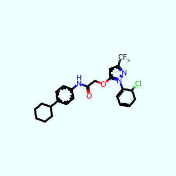 O=C(COc1cc(C(F)(F)F)nn1C1=CC=CCC1Cl)Nc1ccc(C2CCCCC2)cc1